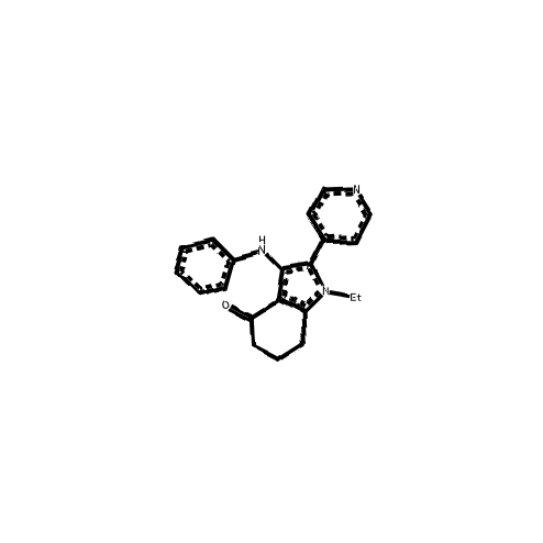 CCn1c2c(c(Nc3ccccc3)c1-c1ccncc1)C(=O)CCC2